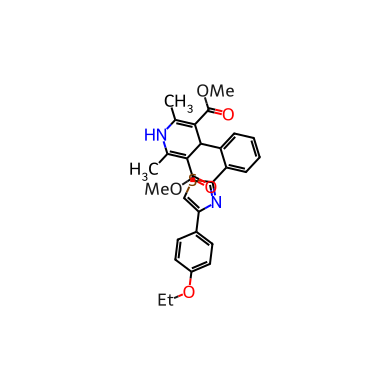 CCOc1ccc(-c2csc(-c3ccccc3C3C(C(=O)OC)=C(C)NC(C)=C3C(=O)OC)n2)cc1